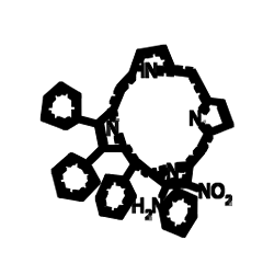 Nc1c([N+](=O)[O-])c2cc3nc(cc4ccc(cc5nc(c(-c6ccccc6)c1n2-c1ccccc1)C(c1ccccc1)=C5c1ccccc1)[nH]4)C=C3